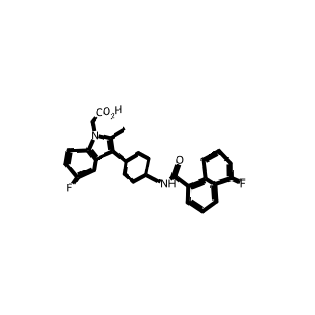 Cc1c(C2CCC(NC(=O)c3cccc4c(F)cccc34)CC2)c2cc(F)ccc2n1CC(=O)O